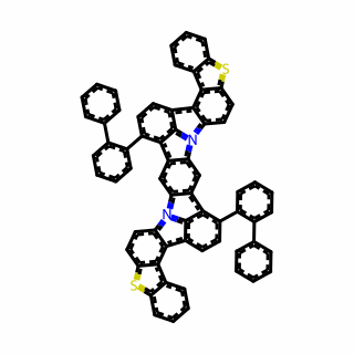 c1ccc(-c2ccccc2-c2ccc3c4c5c(ccc4n4c6cc7c8c(-c9ccccc9-c9ccccc9)ccc9c%10c%11c(ccc%10n(c7cc6c2c34)c98)sc2ccccc2%11)sc2ccccc25)cc1